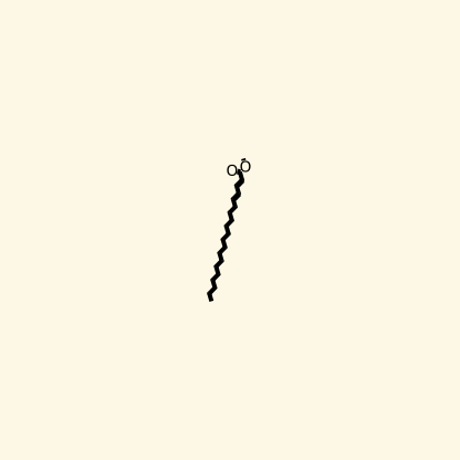 CCCCCCCCCCCCCCCC=CC=CC(=O)OC